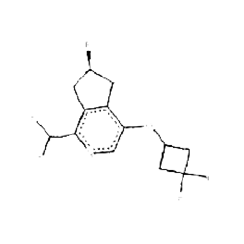 FC(F)c1ncc(OC2CC(F)(F)C2)c2c1C[C@@H](F)C2